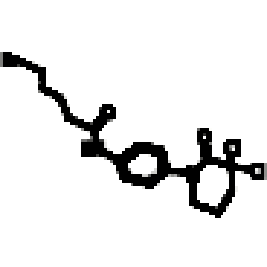 O=C(CCCCBr)Nc1ccc(N2CCCC(Cl)(Cl)C2=O)cc1